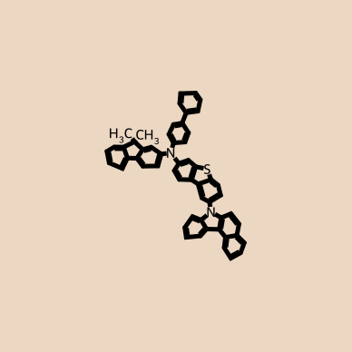 CC1(C)c2ccccc2-c2ccc(N(c3ccc(-c4ccccc4)cc3)c3ccc4c(c3)sc3ccc(-n5c6ccccc6c6c7ccccc7ccc65)cc34)cc21